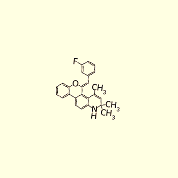 CC1=CC(C)(C)Nc2ccc3c(c21)C(=Cc1cccc(F)c1)Oc1ccccc1-3